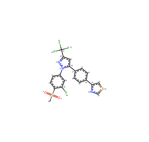 CS(=O)(=O)c1ccc(-n2nc(C(F)(F)F)cc2-c2ccc(-c3cscn3)cc2)cc1F